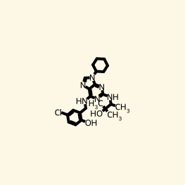 CC(Nc1nc(NCc2cc(Cl)ccc2O)c2ncn(C3CCCCC3)c2n1)C(C)(C)O